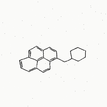 c1cc2ccc3ccc(C[C]4CCCCC4)c4ccc(c1)c2c34